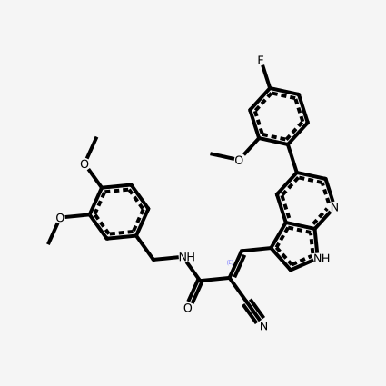 COc1ccc(CNC(=O)/C(C#N)=C/c2c[nH]c3ncc(-c4ccc(F)cc4OC)cc23)cc1OC